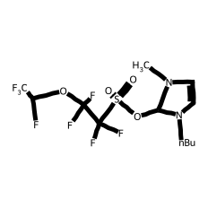 CCCCN1C=CN(C)C1OS(=O)(=O)C(F)(F)C(F)(F)OC(F)C(F)(F)F